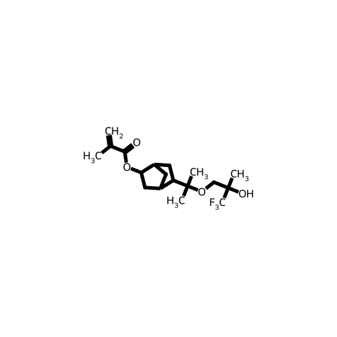 C=C(C)C(=O)OC1CC2CC1CC2C(C)(C)OCC(C)(O)C(F)(F)F